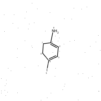 NC1=CC=C(I)CC1